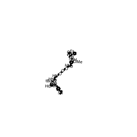 CC[C@@H]1C(=O)N(C)c2cnc(Nc3ccc(C(=O)NCCOCCOCCOCCNCCC(=O)N[C@H](C(=O)N4C[C@H](O)C[C@H]4C(=O)NCc4ccc(-c5scnc5C)cc4)C(C)(C)C)cc3OC)nc2N1C1CCCC1